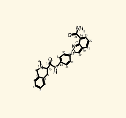 CN1Cc2ccccc2CC1C(=O)Nc1ccc(-n2cc3cccc(C(N)=O)c3n2)cc1